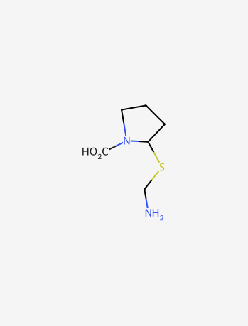 NCSC1CCCN1C(=O)O